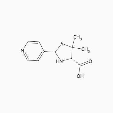 CC1(C)SC(c2ccncc2)N[C@H]1C(=O)O